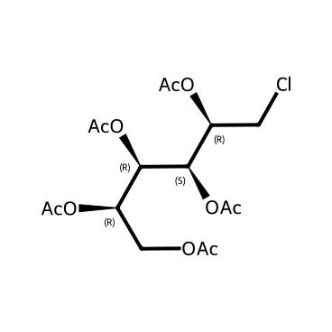 CC(=O)OC[C@@H](OC(C)=O)[C@@H](OC(C)=O)[C@H](OC(C)=O)[C@H](CCl)OC(C)=O